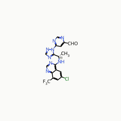 C[C@H](Nc1ncnc2c(C(F)(F)F)cc(Cl)cc12)c1ncnn1-c1cc(C=O)ncn1